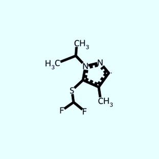 Cc1[c]nn(C(C)C)c1SC(F)F